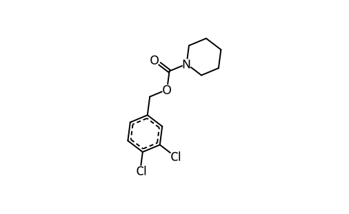 O=C(OCc1ccc(Cl)c(Cl)c1)N1CCCCC1